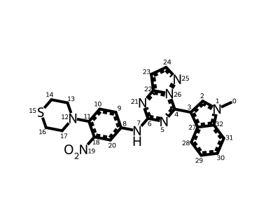 Cn1cc(-c2nc(Nc3ccc(N4CCSCC4)c([N+](=O)[O-])c3)nc3ccnn23)c2ccccc21